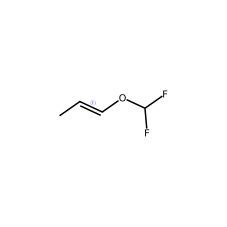 C/C=C/OC(F)F